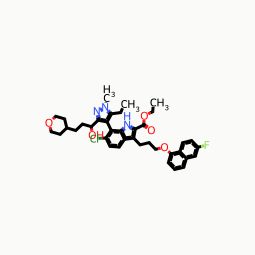 CCOC(=O)c1[nH]c2c(-c3c(C(O)CCC4CCOCC4)nn(C)c3CC)c(Cl)ccc2c1CCCOc1cccc2cc(F)ccc12